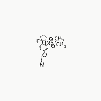 CC(C)S(=O)(=O)NC1CCCC1(F)c1ccc(OCC#N)cc1